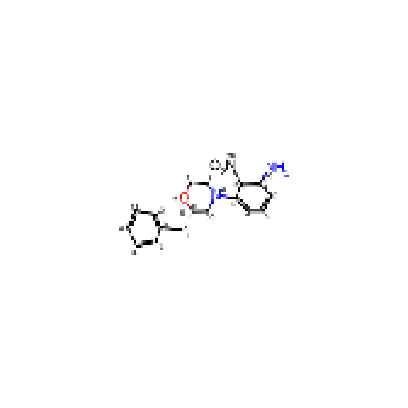 Nc1cccc(N2CCO[C@@H](Cc3ccccc3)C2)c1[N+](=O)[O-]